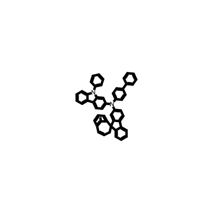 Cc1c2cccc1C1(CC=C2)c2ccccc2-c2ccc(N(c3ccc(-c4ccccc4)cc3)c3ccc4c5ccccc5n(-c5ccccc5)c4c3)cc21